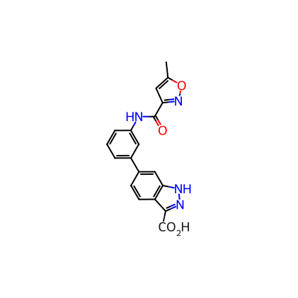 Cc1cc(C(=O)Nc2cccc(-c3ccc4c(C(=O)O)n[nH]c4c3)c2)no1